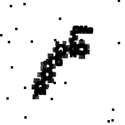 COCCCn1c([C@@H]2CCCN(C(=O)C[C@H](C)Cc3ccc(-c4ccc(C)nc4)cc3)C2)nc2ccccc21